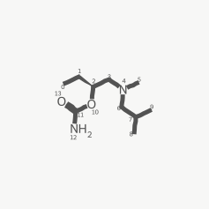 CC[C@@H](CN(C)CC(C)C)OC(N)=O